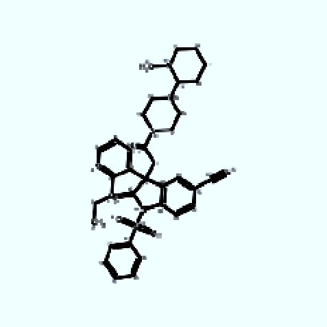 CCOc1ncccc1C1(CC(=O)N2CCN(C3CCCCN3C)CC2)C(=O)N(S(=O)(=O)c2ccccc2)c2ccc(C#N)cc21